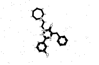 O=c1c(Cc2ccccc2)nc(-c2cccc(Cl)c2)nn1CCN1CCCCCC1